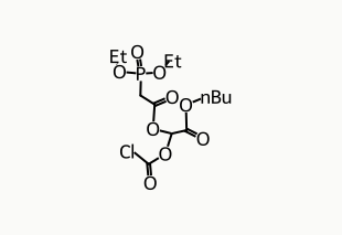 CCCCOC(=O)C(OC(=O)Cl)OC(=O)CP(=O)(OCC)OCC